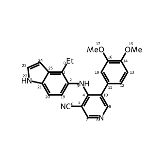 CCc1c(Nc2c(C#N)cncc2-c2ccc(OC)c(OC)c2)ccc2[nH]ccc12